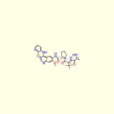 CN[C@@H](C)C(=O)N[C@H](C(=O)N1CCC[C@H]1C(=O)Nc1cc2c(Nc3cccnc3Cl)ncnc2cc1OC)C(C)(C)C